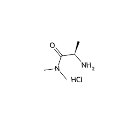 C[C@@H](N)C(=O)N(C)C.Cl